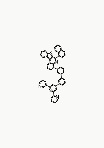 c1ccc(-c2cc(-c3cccc(-c4cccc(-c5cccc6c5nc(-c5cccc7ccccc57)c5sc7ccccc7c56)c4)c3)cc(-c3cccnc3)n2)nc1